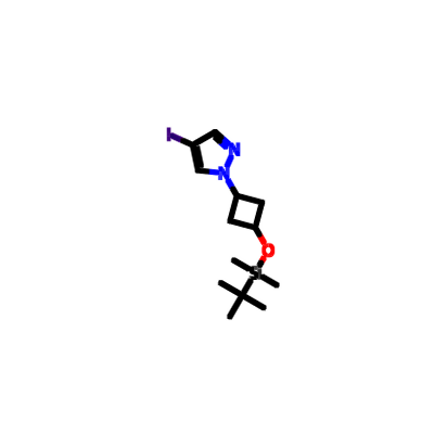 CC(C)(C)[Si](C)(C)OC1CC(n2cc(I)cn2)C1